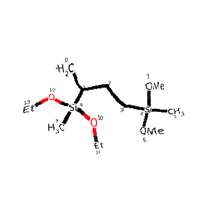 [CH2]C(CC[Si](C)(OC)OC)[Si](C)(OCC)OCC